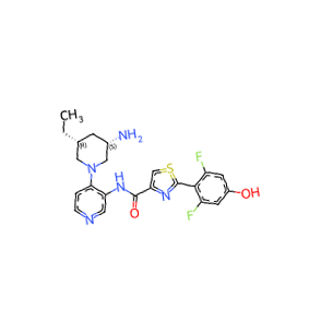 CC[C@@H]1C[C@H](N)CN(c2ccncc2NC(=O)c2csc(-c3c(F)cc(O)cc3F)n2)C1